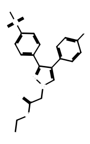 CCOC(=O)Cn1cc(-c2ccc(F)cc2)c(-c2ccc(S(C)(=O)=O)cc2)n1